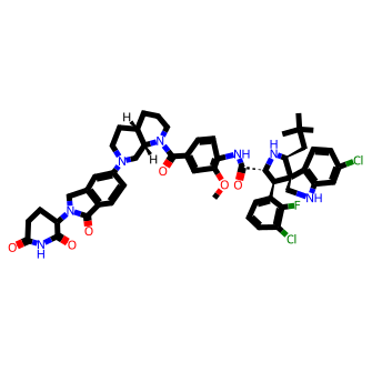 COc1cc(C(=O)N2CCC[C@H]3CCN(c4ccc5c(c4)CN(C4CCC(=O)NC4=O)C5=O)C[C@H]32)ccc1NC(=O)[C@@H]1N[C@@H](CC(C)(C)C)[C@@]2(CNc3cc(Cl)ccc32)[C@H]1c1cccc(Cl)c1F